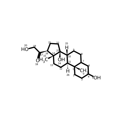 C[C@]12CCC(O)CC1CC[C@@H]1[C@@H]2CC[C@]2(C)[C@@H](C(=O)CO)CC[C@]12O